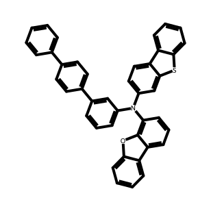 c1ccc(-c2ccc(-c3cccc(N(c4ccc5c(c4)sc4ccccc45)c4cccc5c4oc4ccccc45)c3)cc2)cc1